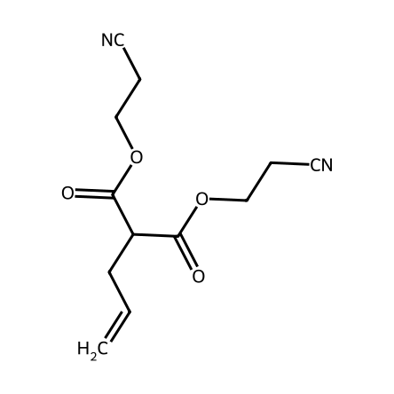 C=CCC(C(=O)OCCC#N)C(=O)OCCC#N